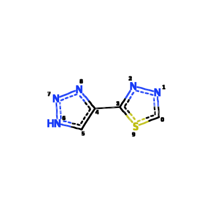 c1nnc(-c2c[nH]nn2)s1